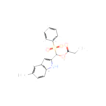 CCC(=O)OC(c1cc2cc(C)ccc2[nH]1)S(=O)(=O)c1ccccc1